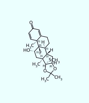 CS[C@@]12OC(C)(C)O[C@@H]1C[C@H]1[C@@H]3CCC4=CC(=O)C=C[C@]4(C)[C@@]3(F)[C@@H](O)C[C@@]12C